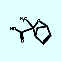 CC1(C(=O)O)OC2C=CC1C2